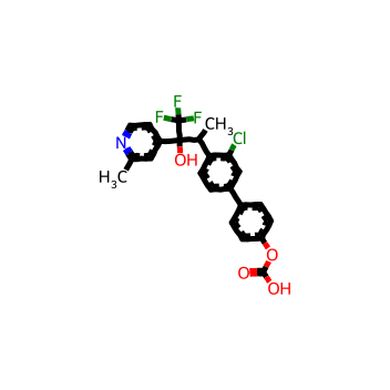 Cc1cc(C(O)(C(C)c2ccc(-c3ccc(OC(=O)O)cc3)cc2Cl)C(F)(F)F)ccn1